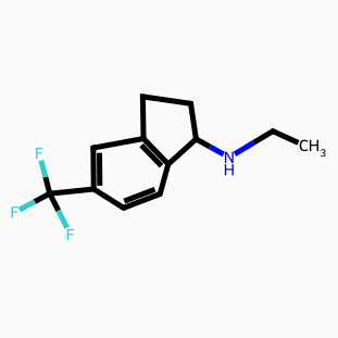 CCNC1CCc2cc(C(F)(F)F)ccc21